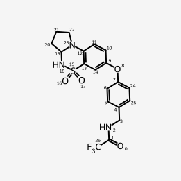 O=C(NCc1ccc(Oc2ccc3c(c2)S(=O)(=O)NC2CCCN32)cc1)C(F)(F)F